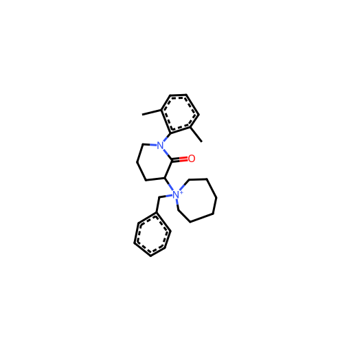 Cc1cccc(C)c1N1CCCC([N+]2(Cc3ccccc3)CCCCCC2)C1=O